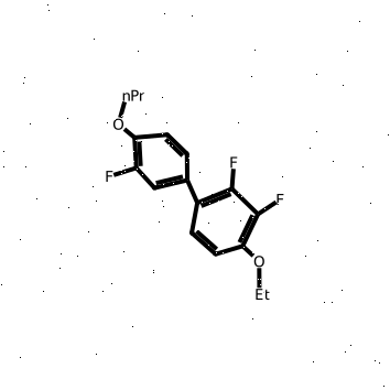 CCCOc1ccc(-c2ccc(OCC)c(F)c2F)cc1F